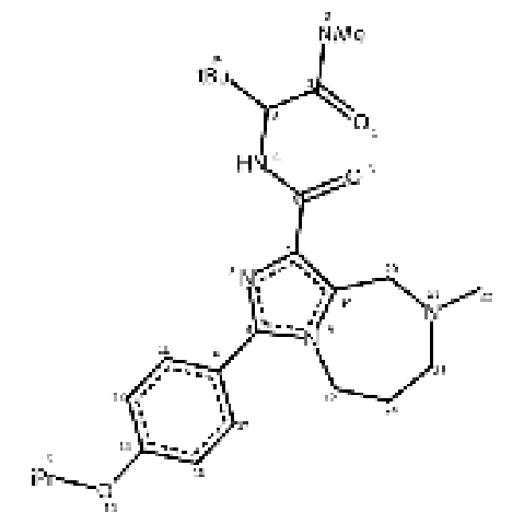 CNC(=O)C(NC(=O)c1nc(-c2ccc(OC(C)C)cc2)n2c1CN(C)CCC2)C(C)(C)C